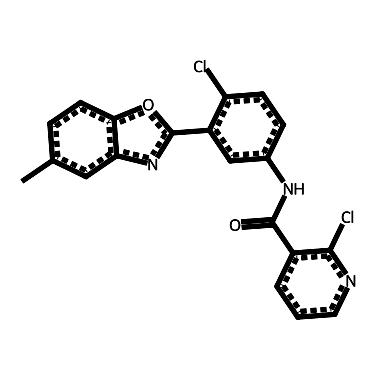 Cc1ccc2oc(-c3cc(NC(=O)c4cccnc4Cl)ccc3Cl)nc2c1